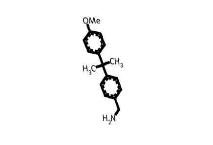 COc1ccc(C(C)(C)c2ccc(CN)cc2)cc1